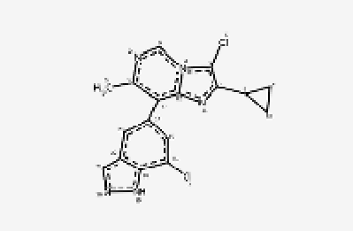 Cc1ncn2c(Cl)c(C3CC3)nc2c1-c1cc(Cl)c2[nH]ncc2c1